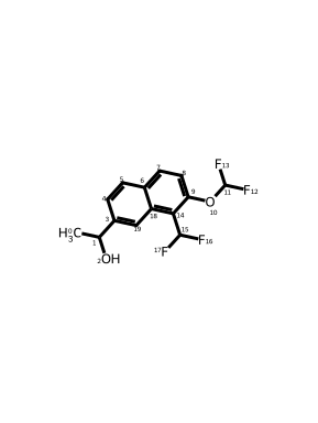 CC(O)c1ccc2ccc(OC(F)F)c(C(F)F)c2c1